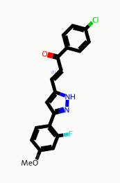 COc1ccc(-c2cc(/C=C/C(=O)c3ccc(Cl)cc3)[nH]n2)c(F)c1